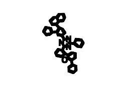 c1ccc(-c2nc(-c3ccc(-c4cccc5ccccc45)c(-c4ccccc4)c3)nc(-c3cccc4oc5c(-c6ccccc6)cccc5c34)n2)cc1